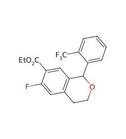 CCOC(=O)c1cc2c(cc1F)CCOC2c1ccccc1C(F)(F)F